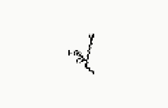 CCCC/C=C\CC(/C=C/CCCCCCCOC)C(C=O)CCOO